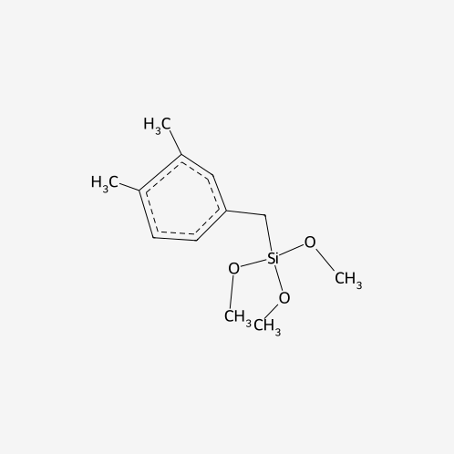 CO[Si](Cc1ccc(C)c(C)c1)(OC)OC